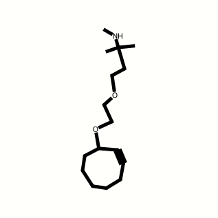 CNC(C)(C)CCOCCOC1C#CCCCCC1